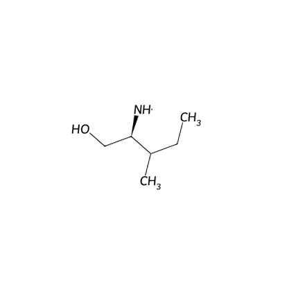 CCC(C)[C@H]([NH])CO